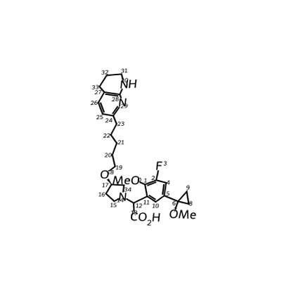 COc1c(F)cc(C2(OC)CC2)cc1C(C(=O)O)N1CC[C@@H](OCCCCCc2ccc3c(n2)NCCC3)C1